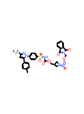 Cc1ccc(-c2cc(C(F)(F)F)nn2-c2ccc(S(=O)(=O)NC(=O)OCC3CN(/[N+]([O-])=N\OCN4C(=O)c5ccccc5C4=O)C3)cc2)cc1